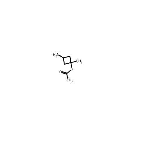 CC(=O)OC1(C)CC(N)C1